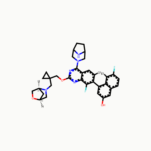 CCc1c(F)ccc2cc(O)cc(-c3c(C(F)(F)F)cc4c(N5CC6CCC(C5)N6)nc(OCC5(CN6C[C@@H]7C[C@H]6CO7)CC5)nc4c3F)c12